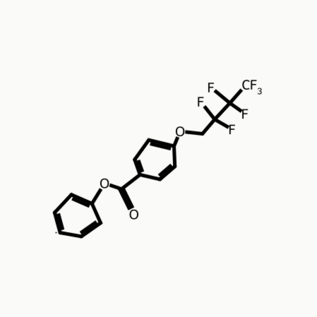 O=C(Oc1cc[c]cc1)c1ccc(OCC(F)(F)C(F)(F)C(F)(F)F)cc1